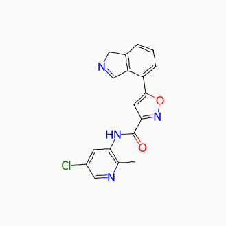 Cc1ncc(Cl)cc1NC(=O)c1cc(-c2cccc3c2C=NC3)on1